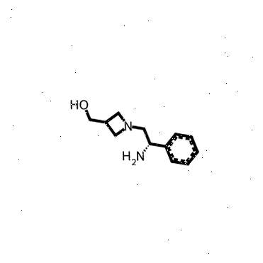 N[C@H](CN1CC(CO)C1)c1ccccc1